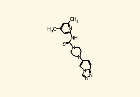 Cc1cc(C)nc(NC(=S)N2CCN(c3ccc4nncn4c3)CC2)c1